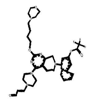 O=CC=CN1CCN(c2nc(OCCCCN3CCOCC3)nc3c2CCN(c2cc(OC(=O)C(F)(F)F)cc4ccccc24)C3)CC1